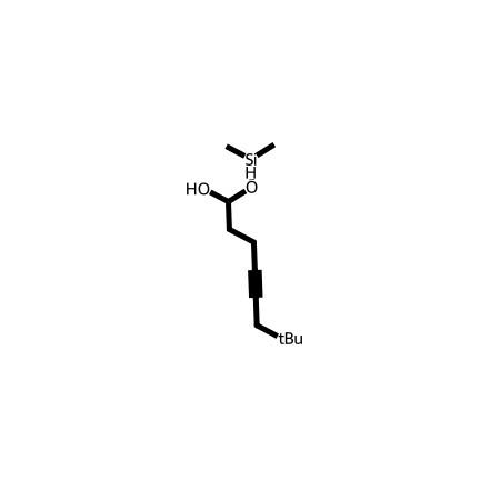 C[SiH](C)OC(O)CCC#CCC(C)(C)C